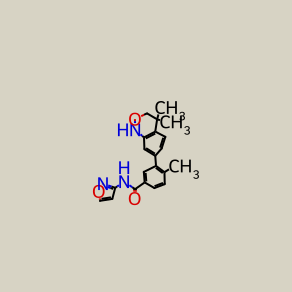 Cc1ccc(C(=O)Nc2ccon2)cc1-c1ccc2c(c1)NOCC2(C)C